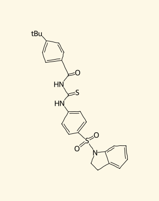 CC(C)(C)c1ccc(C(=O)NC(=S)Nc2ccc(S(=O)(=O)N3CCc4ccccc43)cc2)cc1